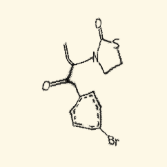 C=C(C(=O)c1ccc(Br)cc1)N1CCSC1=O